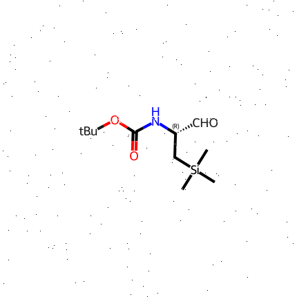 CC(C)(C)OC(=O)N[C@H](C=O)C[Si](C)(C)C